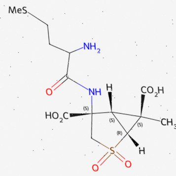 CSCCC(N)C(=O)N[C@@]1(C(=O)O)CS(=O)(=O)[C@@H]2[C@H]1[C@@]2(C)C(=O)O